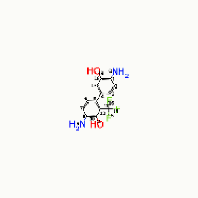 Nc1ccc(-c2ccc(N)c(O)c2C(F)(F)F)cc1O